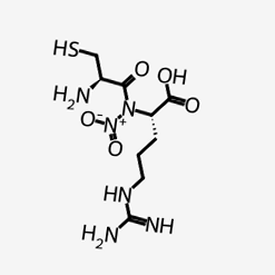 N=C(N)NCCC[C@@H](C(=O)O)N(C(=O)[C@@H](N)CS)[N+](=O)[O-]